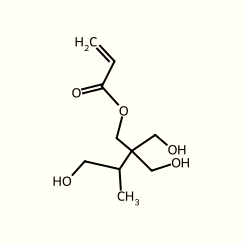 C=CC(=O)OCC(CO)(CO)C(C)CO